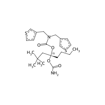 CCCC[C@](CC(C)(C)C)(OC(N)=O)OC(=O)N(Cc1ccsc1)Cc1ccsc1